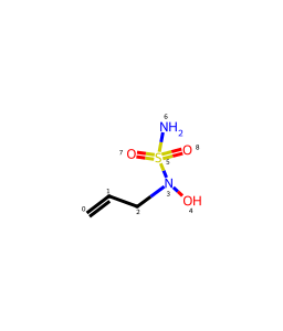 C=CCN(O)S(N)(=O)=O